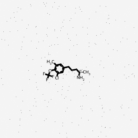 Cc1cc(CCC[C@H](C)N)cc(Cl)c1OC(F)(F)F